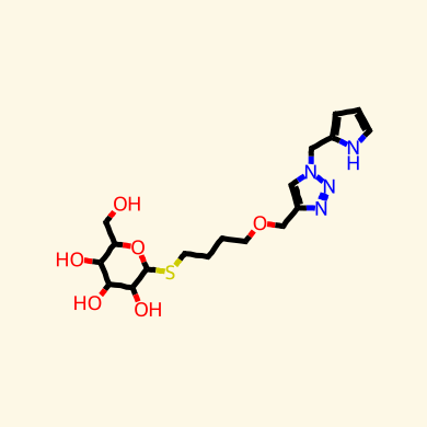 OCC1OC(SCCCCOCc2cn(Cc3ccc[nH]3)nn2)C(O)C(O)C1O